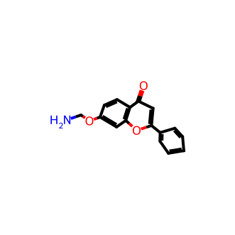 NCOc1ccc2c(=O)cc(-c3ccccc3)oc2c1